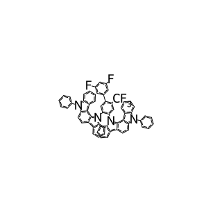 Fc1cc(F)cc(-c2cc(-n3c4ccccc4c4ccc5c(c6ccccc6n5-c5ccccc5)c43)c(-n3c4ccccc4c4ccc5c(c6ccccc6n5-c5ccccc5)c43)cc2C(F)(F)F)c1